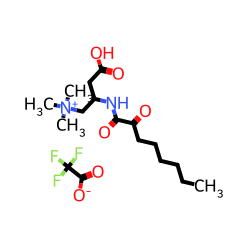 CCCCCCC(=O)C(=O)NC(CC(=O)O)C[N+](C)(C)C.O=C([O-])C(F)(F)F